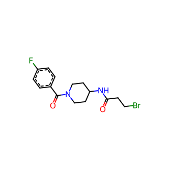 O=C(CCBr)NC1CCN(C(=O)c2ccc(F)cc2)CC1